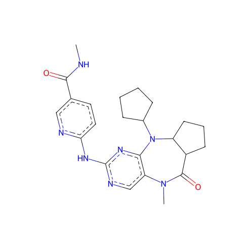 CNC(=O)c1ccc(Nc2ncc3c(n2)N(C2CCCC2)C2CCCC2C(=O)N3C)nc1